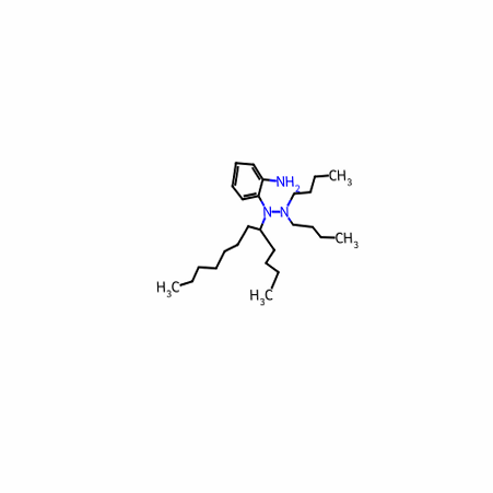 CCCCCCCC(CCCC)N(c1ccccc1N)N(CCCC)CCCC